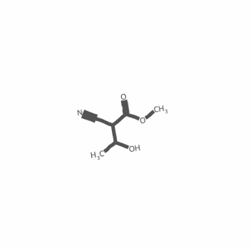 COC(=O)C(C#N)C(C)O